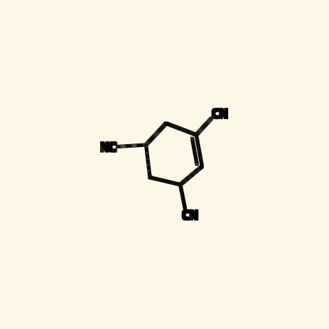 N#CC1=CC(C#N)CC(C#N)C1